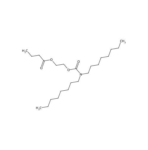 CCCCCCCCN(CCCCCCCC)C(=O)OCCOC(=O)CCC